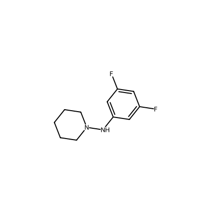 Fc1cc(F)cc(NN2CCCCC2)c1